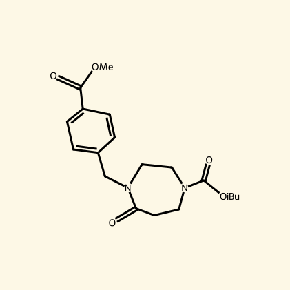 COC(=O)c1ccc(CN2CCN(C(=O)OCC(C)C)CCC2=O)cc1